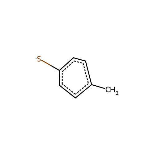 Cc1ccc([S])cc1